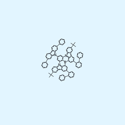 CC(C)(C)c1ccc2c(c1)c1cc(-c3ccccc3-c3ccccc3)cc3c1n2-c1cc(-n2c4cc(-c5ccccc5)ccc4c4ccc(-c5ccccc5)cc42)cc2c1B3c1cc(-c3ccccc3-c3ccccc3)cc3c4cc(C(C)(C)C)ccc4n-2c13